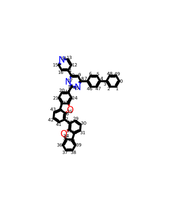 c1ccc(-c2ccc(-c3cc(-c4ccncc4)nc(-c4ccc5c(c4)oc4c(-c6cccc7c6oc6ccccc67)cccc45)n3)cc2)cc1